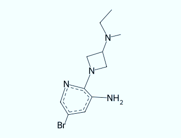 CCN(C)C1CN(c2ncc(Br)cc2N)C1